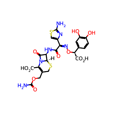 NC(=O)OCC1=C(C(=O)O)N2C(=O)[C@@H](NC(=O)/C(=N\O[C@H](C(=O)O)c3ccc(O)c(O)c3)c3csc(N)n3)[C@H]2SC1